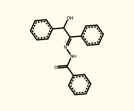 O=C(N/N=C(\c1ccccc1)C(O)c1ccccc1)c1ccccc1